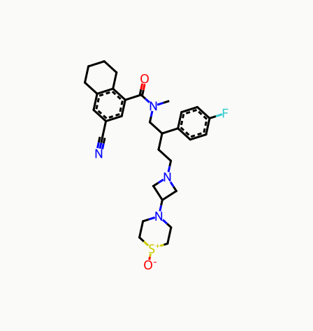 CN(CC(CCN1CC(N2CC[S+]([O-])CC2)C1)c1ccc(F)cc1)C(=O)c1cc(C#N)cc2c1CCCC2